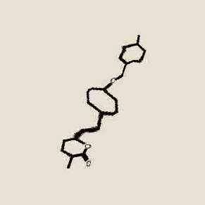 CC1CCC(COC2CCC(CCC3CCC(C)C(=O)O3)CC2)CC1